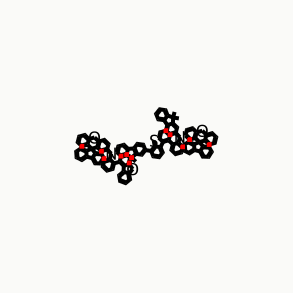 CC1(C)c2cc(-c3cccc4c3sc3cccc(-c5ccccc5N(c5ccc6c(c5)C(C)(C)c5ccccc5-6)c5ccc6c(c5)C5(c7ccccc7O6)c6ccccc6-c6ccccc65)c34)ccc2-c2ccc(N(c3ccc4c(c3)C3(c5ccccc5O4)c4ccccc4-c4ccccc43)c3ccccc3-c3cccc4oc5ccccc5c34)cc21